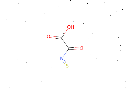 O=C(O)C(=O)N=S